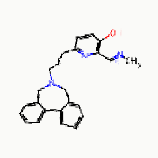 C/N=C/c1nc(CCCN2Cc3ccccc3-c3ccccc3C2)ccc1O